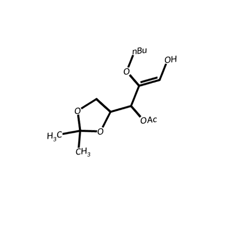 CCCCO/C(=C\O)C(OC(C)=O)C1COC(C)(C)O1